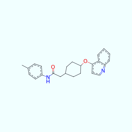 Cc1ccc(NC(=O)CC2CCC(Oc3ccnc4ccccc34)CC2)cc1